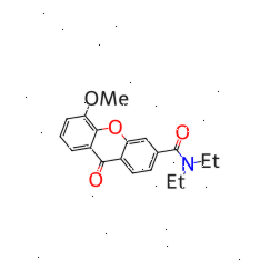 CCN(CC)C(=O)c1ccc2c(=O)c3cccc(OC)c3oc2c1